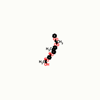 C=C(CO)C(=O)Oc1ccc(C(=O)Oc2ccc3c(c2)C(C)c2cc(OC(=O)C(=C)CC(=O)OC4CCCCC4)ccc2-3)cc1